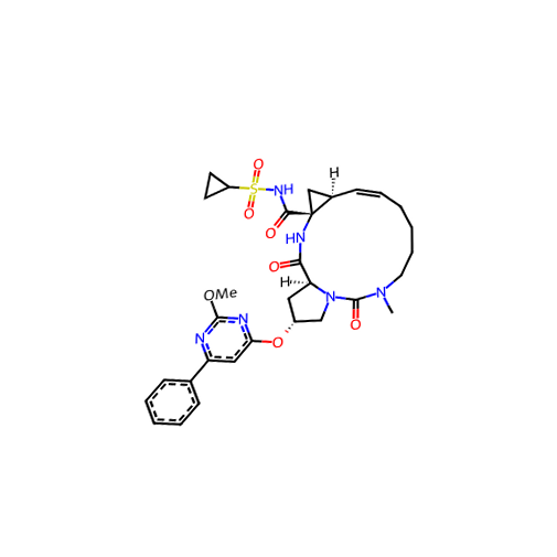 COc1nc(O[C@@H]2C[C@H]3C(=O)N[C@]4(C(=O)NS(=O)(=O)C5CC5)C[C@H]4/C=C\CCCCN(C)C(=O)N3C2)cc(-c2ccccc2)n1